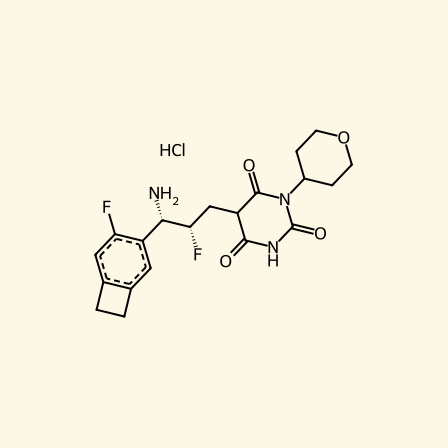 Cl.N[C@@H](c1cc2c(cc1F)CC2)[C@@H](F)CC1C(=O)NC(=O)N(C2CCOCC2)C1=O